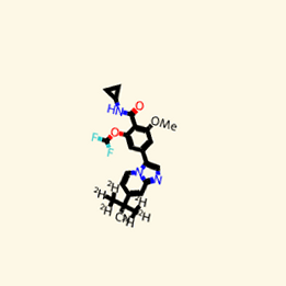 [2H]C([2H])([2H])C(C#N)(c1ccn2c(-c3cc(OC)c(C(=O)NC4CC4)c(OC(F)F)c3)cnc2c1)C([2H])([2H])[2H]